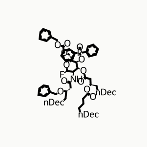 CCCCCCCCCCCCCC(=O)O[C@H](CCCCCCCCCCC)CC(=O)O[C@@H]1[C@@H](NC(=O)C[C@H](CCCCCCCCCCC)OCc2ccccc2)[C@@H](F)O[C@H](COC(=O)OCc2ccccc2)[C@H]1OP(=O)(c1ccccc1)c1ccccc1